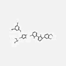 Cc1c(COc2cc(OCc3cc(C#N)cc(C#N)c3)c(CN[C@@](C)(CO)C(=O)O)cc2Cl)cccc1-c1cccc(-c2ccc3c(c2)CNCC3)c1C